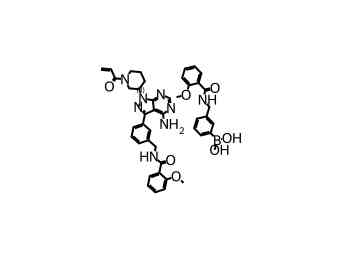 C=CC(=O)N1CCC[C@@H](n2nc(-c3cccc(CNC(=O)c4ccccc4OC)c3)c3c(N)ncnc32)C1.COc1ccccc1C(=O)NCc1cccc(B(O)O)c1